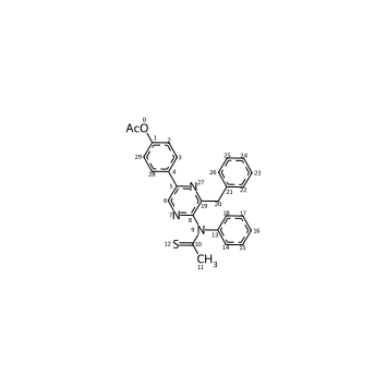 CC(=O)Oc1ccc(-c2cnc(N(C(C)=S)c3ccccc3)c(Cc3ccccc3)n2)cc1